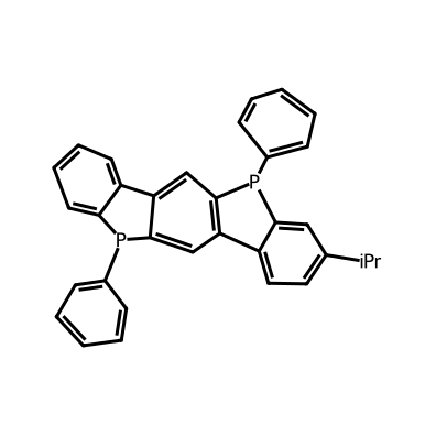 CC(C)c1ccc2c3cc4c(cc3p(-c3ccccc3)c2c1)c1ccccc1p4-c1ccccc1